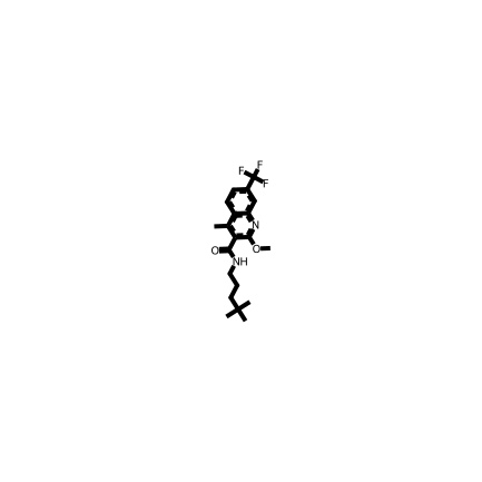 COc1nc2cc(C(F)(F)F)ccc2c(C)c1C(=O)NCCCC(C)(C)C